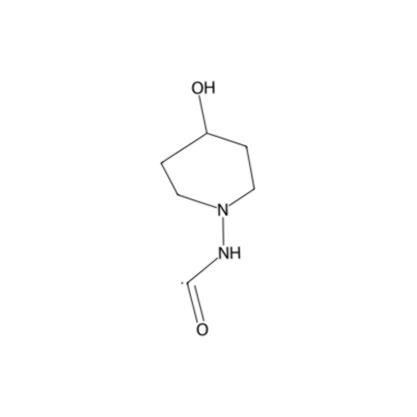 O=[C]NN1CCC(O)CC1